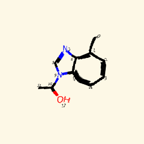 Cc1cccc2c1n[c]n2C(C)O